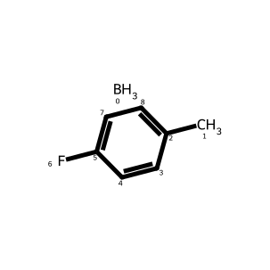 B.Cc1ccc(F)cc1